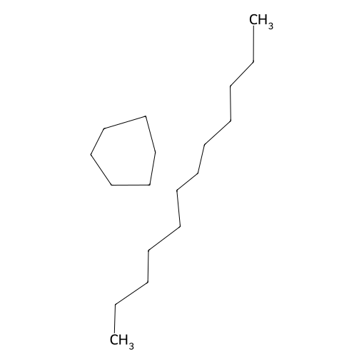 C1CCCCC1.CCCCCCCCCCCC